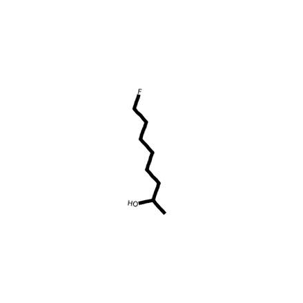 CC(O)CCCCCCF